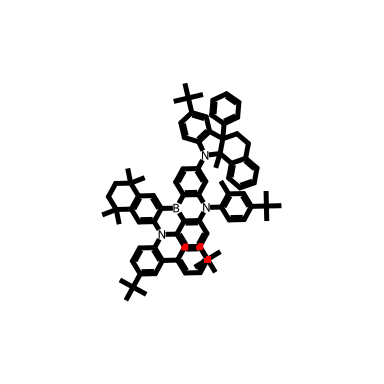 Cc1cc(C(C)(C)C)ccc1N1c2cc(N3c4ccc(C(C)(C)C)cc4C4(c5ccccc5)CCc5ccccc5C34C)ccc2B2c3cc4c(cc3N(c3ccc(C(C)(C)C)cc3-c3ccccc3)c3cc(C(C)(C)C)cc1c32)C(C)(C)CCC4(C)C